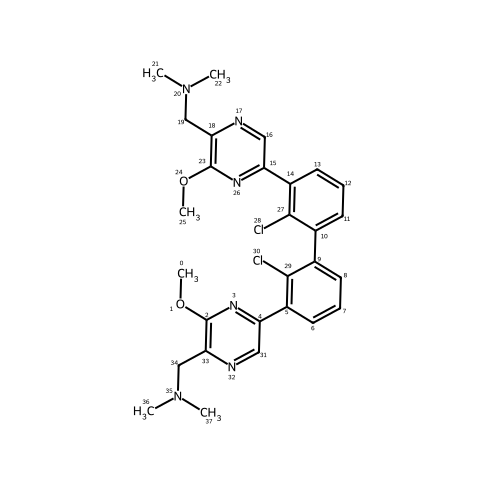 COc1nc(-c2cccc(-c3cccc(-c4cnc(CN(C)C)c(OC)n4)c3Cl)c2Cl)cnc1CN(C)C